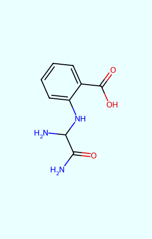 NC(=O)C(N)Nc1ccccc1C(=O)O